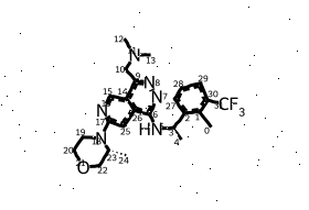 Cc1c([C@@H](C)Nc2nnc(CN(C)C)c3cnc(N4CCOC[C@H]4C)cc23)cccc1C(F)(F)F